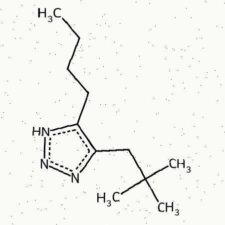 CCCCc1[nH]nnc1CC(C)(C)C